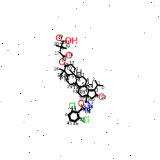 CC(C)C1=C2[C@H]3CC[C@@H]4C5(C)CC[C@H](OC(=O)CC(C)(C)C(=O)O)C(C)(C)[C@@H]5CC[C@@]4(C)[C@]3(C)CC[C@@]2(c2nnc(-c3c(Cl)cccc3Cl)o2)CC1=O